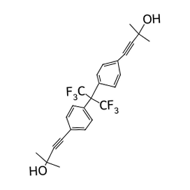 CC(C)(O)C#Cc1ccc(C(c2ccc(C#CC(C)(C)O)cc2)(C(F)(F)F)C(F)(F)F)cc1